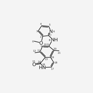 COc1cccnc1Nc1cc(C)c2c(=O)[nH]ccc2c1C